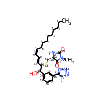 CCCCCCCCC/C=C\C=C\[C@H](SC[C@@H]1NC(=O)N(C)C1=O)[C@@H](O)c1cccc(-c2nnn[nH]2)c1